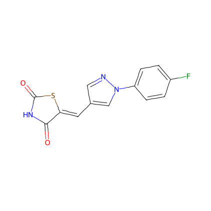 O=C1NC(=O)/C(=C/c2cnn(-c3ccc(F)cc3)c2)S1